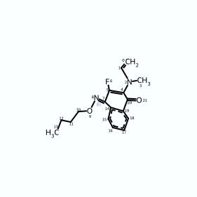 C=CN(C)C1=C(F)/C(=N/OCCCC)c2ccccc2C1=O